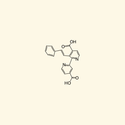 O=C(O)c1ccnc(-c2nccc(C(=O)O)c2C=Cc2ccccc2)c1